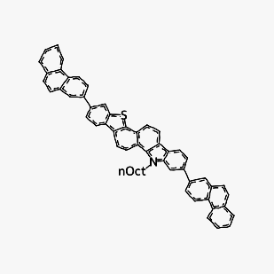 CCCCCCCCn1c2cc(-c3ccc4c(ccc5ccccc54)c3)ccc2c2ccc3c(ccc4c5ccc(-c6ccc7c(ccc8ccccc87)c6)cc5sc43)c21